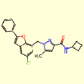 Cc1cc(C(=O)NC2CCC2)nn1Cc1cc(Cl)cc2cc(-c3ccccc3)oc12